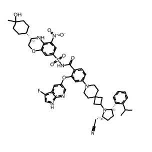 CC(C)c1ccccc1[C@@H]1CC[C@H](CC#N)N1C1CC2(CCN(c3ccc(C(=O)NS(=O)(=O)c4cc5c(c([N+](=O)[O-])c4)N[C@@H](C4CCC(C)(O)CC4)CO5)c(Oc4cnc5[nH]cc(F)c5c4)c3)CC2)C1